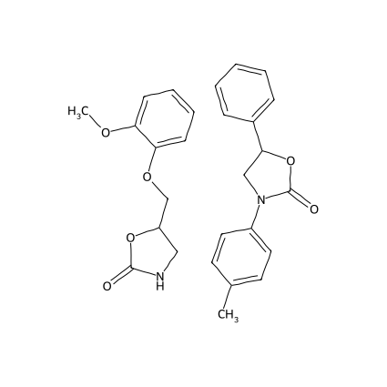 COc1ccccc1OCC1CNC(=O)O1.Cc1ccc(N2CC(c3ccccc3)OC2=O)cc1